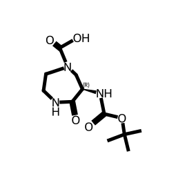 CC(C)(C)OC(=O)N[C@@H]1CN(C(=O)O)CCNC1=O